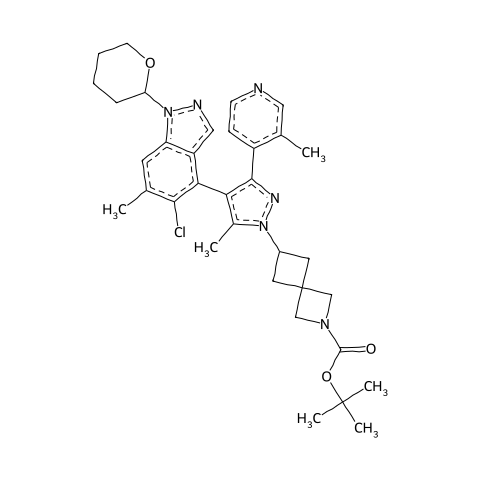 Cc1cnccc1-c1nn(C2CC3(C2)CN(C(=O)OC(C)(C)C)C3)c(C)c1-c1c(Cl)c(C)cc2c1cnn2C1CCCCO1